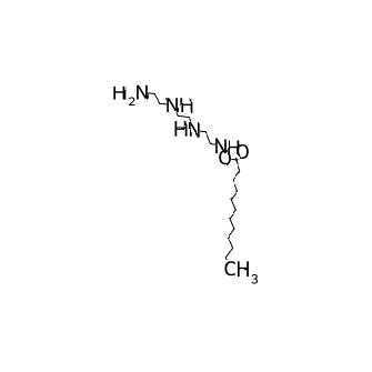 CCCCCCCCCCCC(=O)ONCCNCCNCCN